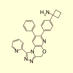 NC1(c2ccc(-c3nc4c(cc3-c3ccccc3)-n3c(nnc3-c3ccccn3)CO4)cc2)CCC1